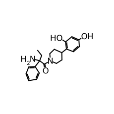 CCC(N)(C(=O)N1CCC(c2ccc(O)cc2O)CC1)c1ccccc1